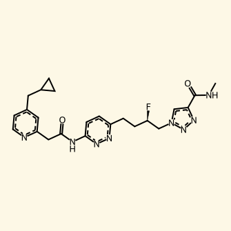 CNC(=O)c1cn(C[C@H](F)CCc2ccc(NC(=O)Cc3cc(CC4CC4)ccn3)nn2)nn1